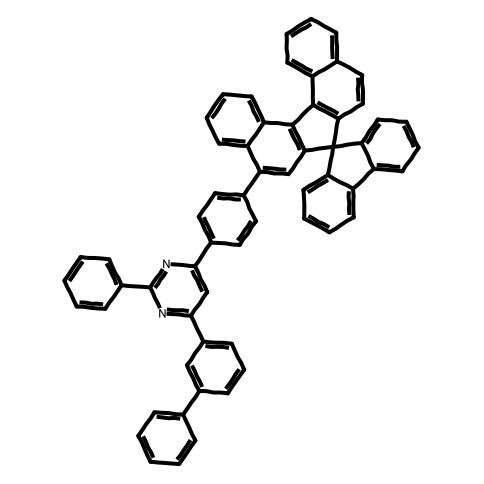 c1ccc(-c2cccc(-c3cc(-c4ccc(-c5cc6c(c7ccccc57)-c5c(ccc7ccccc57)C65c6ccccc6-c6ccccc65)cc4)nc(-c4ccccc4)n3)c2)cc1